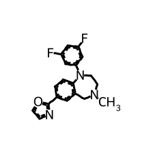 CN1CCN(c2cc(F)cc(F)c2)c2ccc(-c3ncco3)cc2C1